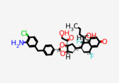 CCC[C@H](O)[C@@]1(F)[C@H]([C@@H]2C[C@H]3O[C@H](c4ccc(Cc5ccc(Cl)c(N)c5)cc4)O[C@@]3(C(=O)CO)C2)C[C@H](F)C2=CC(=O)C=C[C@@]21C